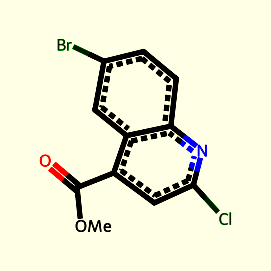 COC(=O)c1cc(Cl)nc2ccc(Br)cc12